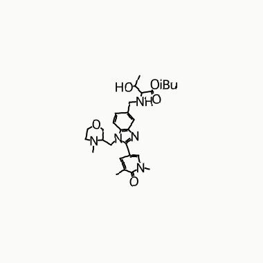 Cc1cc(-c2nc3cc(CNC(C(=O)OCC(C)C)C(C)O)ccc3n2CC2COCCN2C)cn(C)c1=O